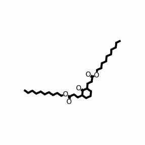 CCCCCCCCCCOC(=O)CCC1CCCC(CCC(=O)OCCCCCCCCCC)C1=O